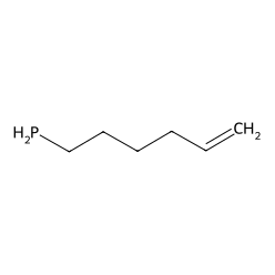 C=CCCCCP